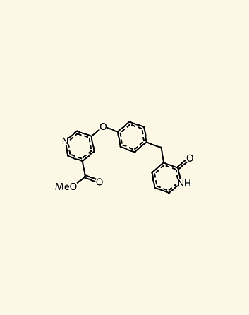 COC(=O)c1cncc(Oc2ccc(Cc3ccc[nH]c3=O)cc2)c1